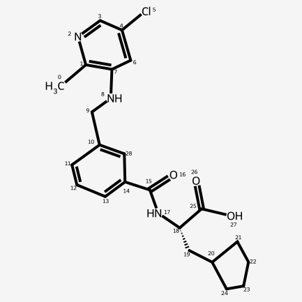 Cc1ncc(Cl)cc1NCc1cccc(C(=O)N[C@@H](CC2CCCC2)C(=O)O)c1